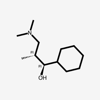 C[C@H](CN(C)C)[C@H](O)C1CCCCC1